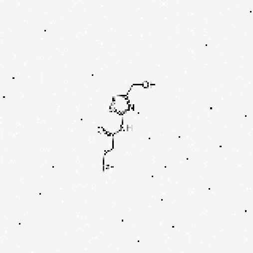 CC(C)CCC(=O)Nc1nc(CO)cs1